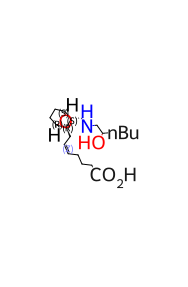 CCCCC(O)CNC[C@@H]1[C@@H](C/C=C\CCCC(=O)O)[C@H]2CC[C@@H]1O2